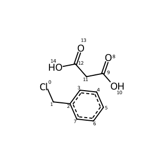 ClCc1ccccc1.O=C(O)CC(=O)O